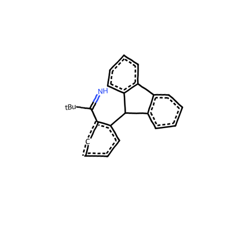 CC(C)(C)C(=N)c1ccccc1C1c2ccccc2-c2ccccc21